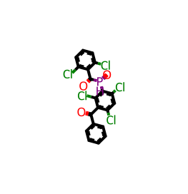 O=C(c1ccccc1)c1c(Cl)cc(Cl)c([PH](=O)C(=O)c2c(Cl)cccc2Cl)c1Cl